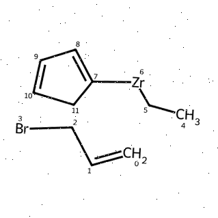 C=CCBr.C[CH2][Zr][C]1=CC=CC1